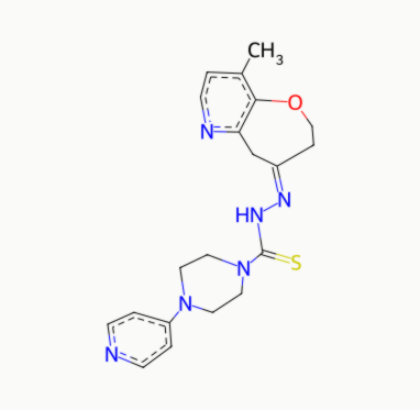 Cc1ccnc2c1OCC/C(=N/NC(=S)N1CCN(c3ccncc3)CC1)C2